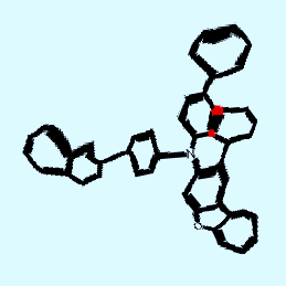 c1ccc(-c2ccc(N(c3ccc(-c4ccc5ccccc5c4)cc3)c3cc4oc5ccccc5c4cc3-c3ccccc3)cc2)cc1